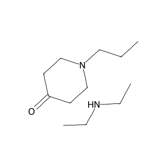 CCCN1CCC(=O)CC1.CCNCC